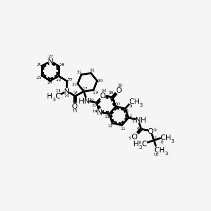 Cc1c(NC(=O)OC(C)(C)C)ccc2nc(NC3(C(=O)N(C)Cc4cccnc4)CCCCC3)oc(=O)c12